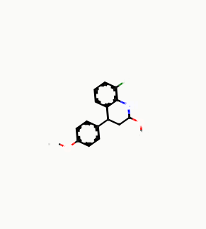 CCCOc1ccc(C2CC(OC(=O)O)Nc3c(Cl)cccc32)cc1